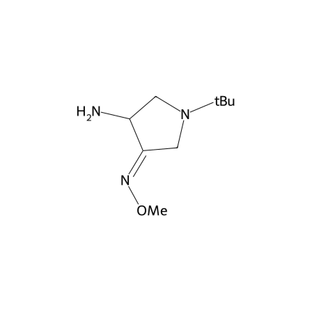 CO/N=C1\CN(C(C)(C)C)CC1N